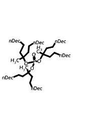 CCCCCCCCCCCCC(C)(CCCCCCCCCCCC)OP(=O)(OC(C)(CCCCCCCCCCCC)CCCCCCCCCCCC)OC(C)(CCCCCCCCCCCC)CCCCCCCCCCCC